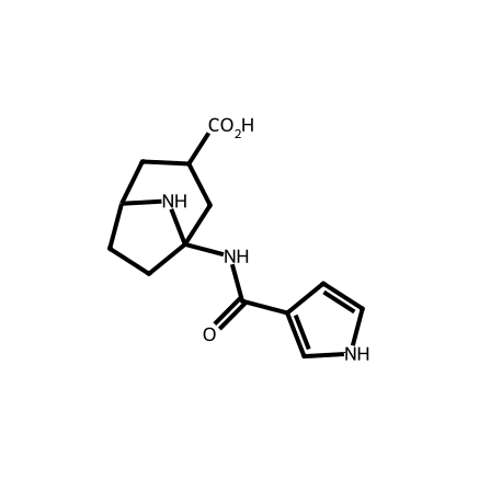 O=C(NC12CCC(CC(C(=O)O)C1)N2)c1cc[nH]c1